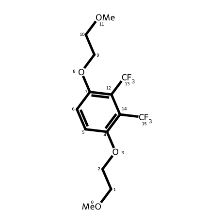 COCCOc1ccc(OCCOC)c(C(F)(F)F)c1C(F)(F)F